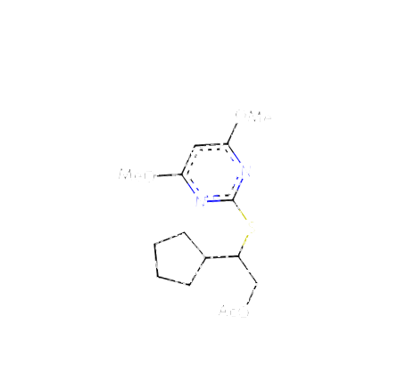 COc1cc(OC)nc(SC(COC(C)=O)C2CCCC2)n1